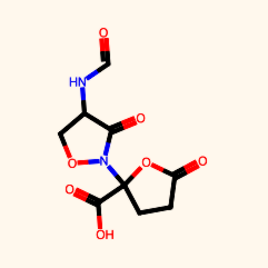 O=CNC1CON(C2(C(=O)O)CCC(=O)O2)C1=O